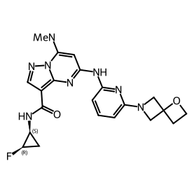 CNc1cc(Nc2cccc(N3CC4(CCO4)C3)n2)nc2c(C(=O)N[C@H]3C[C@H]3F)cnn12